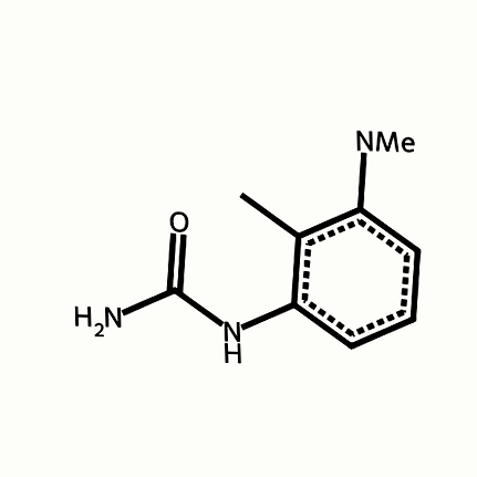 CNc1cccc(NC(N)=O)c1C